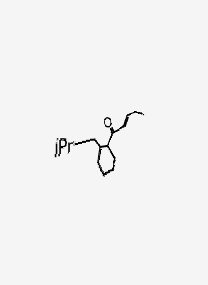 CC=CC(=O)C1CCCC=C1CC(C)C